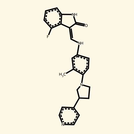 Cc1cc(NC=C2C(=O)Nc3cccc(F)c32)ccc1N1CCC(c2ccncc2)C1